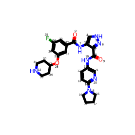 O=C(Nc1c[nH]nc1C(=O)Nc1ccc(N2CCCC2)nc1)c1cc(F)cc(OC2CCNCC2)c1